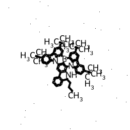 CCCCC1Nc2c(cc3c4c2-n2c5ccc(C(C)(C)C)cc5c5cc(C(C)(C)C)cc(c52)B4c2cc(C(C)(C)C)cc4c5cc(C(C)(C)C)ccc5n-3c24)-c2ccccc21